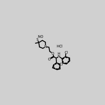 CC1(SN=O)CCN(CCOC(=O)C(Nc2c(Cl)cccc2Cl)c2ccccc2)CC1.Cl